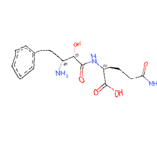 NC(=O)CC[C@H](NC(=O)[C@@H](O)[C@H](N)Cc1ccccc1)C(=O)O